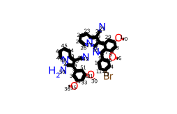 COc1cc(OC)c2c(-c3ccc(Br)cc3)nc3c(c(C#N)c4ccccn43)c2c1.COc1cc(OC)cc(-c2c(C#N)c3ccccn3c2N)c1